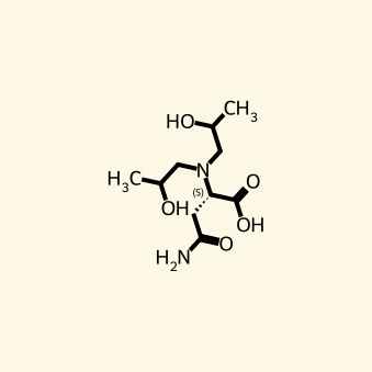 CC(O)CN(CC(C)O)[C@@H](CC(N)=O)C(=O)O